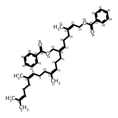 CC(C)=CCCC(C)=CCCC(C)=CCCC(=CCCC(C)=CCOC(=O)c1ccccc1)COC(=O)c1ccccc1